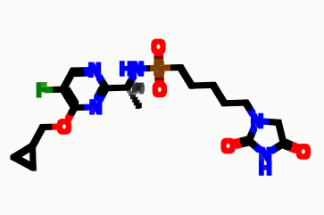 C[C@@H](NS(=O)(=O)CCCCCN1CC(=O)NC1=O)c1ncc(F)c(OCC2CC2)n1